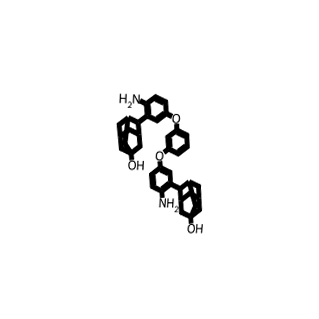 Nc1ccc(Oc2cccc(Oc3ccc(N)c(C4C5CC6CC4CC(O)(C6)C5)c3)c2)cc1C1C2CC3CC1CC(O)(C3)C2